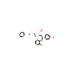 COc1ccc([C@@H]2Cc3c(cccc3C(F)(F)F)N(CCN(C)CCOc3ccccc3)C(=O)[C@@H]2OC(C)=O)cc1